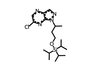 CC(CCO[Si](C(C)C)(C(C)C)C(C)C)n1ncc2ncc(Cl)nc21